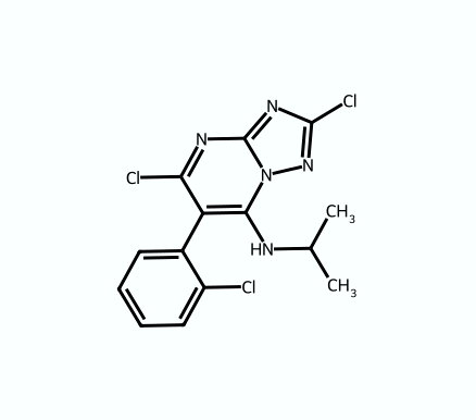 CC(C)Nc1c(-c2ccccc2Cl)c(Cl)nc2nc(Cl)nn12